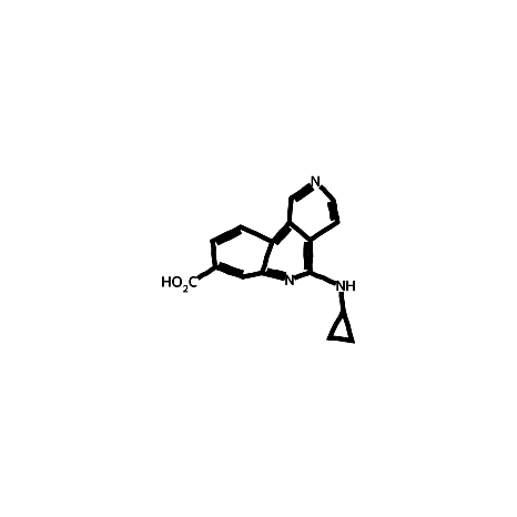 O=C(O)c1ccc2c(c1)nc(NC1CC1)c1ccncc12